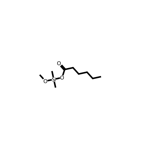 CCCCCC(=O)O[Si](C)(C)OC